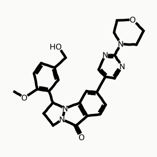 COc1ccc(CO)cc1C1CCn2c(=O)c3ccc(-c4cnc(N5CCOCC5)nc4)cc3n21